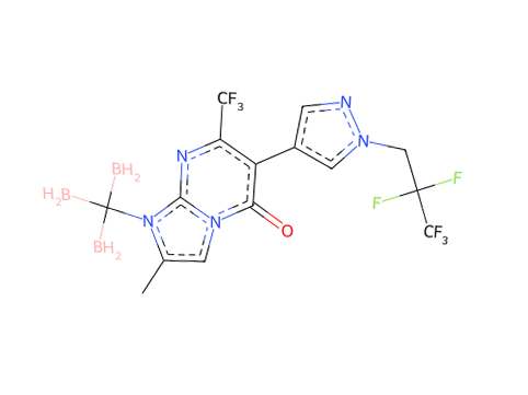 BC(B)(B)n1c(C)cn2c(=O)c(-c3cnn(CC(F)(F)C(F)(F)F)c3)c(C(F)(F)F)nc12